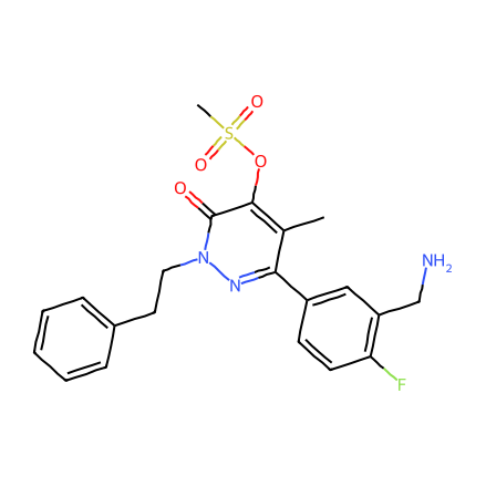 Cc1c(-c2ccc(F)c(CN)c2)nn(CCc2ccccc2)c(=O)c1OS(C)(=O)=O